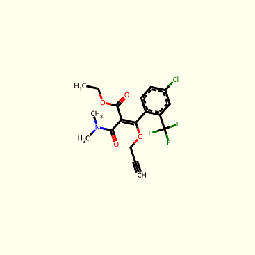 C#CCOC(=C(C(=O)OCC)C(=O)N(C)C)c1ccc(Cl)cc1C(F)(F)F